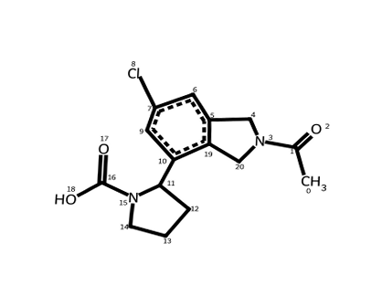 CC(=O)N1Cc2cc(Cl)cc(C3CCCN3C(=O)O)c2C1